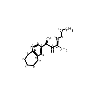 COCN=C(N)NC(=O)c1cnc2c(c1)CCCCC2